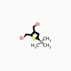 C[Si](C)(C)c1cc(CBr)c(CBr)s1